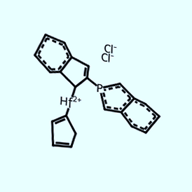 C1=CC[C]([Hf+2][CH]2C(p3cc4ccccc4c3)=Cc3ccccc32)=C1.[Cl-].[Cl-]